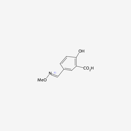 CO/N=C/c1ccc(O)c(C(=O)O)c1